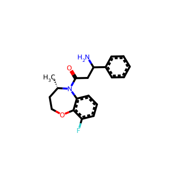 C[C@H]1CCOc2c(F)cccc2N1C(=O)CC(N)c1ccccc1